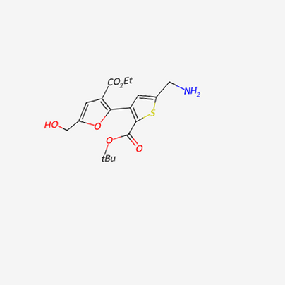 CCOC(=O)c1cc(CO)oc1-c1cc(CN)sc1C(=O)OC(C)(C)C